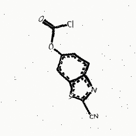 N#Cc1nc2ccc(OC(=O)Cl)cc2s1